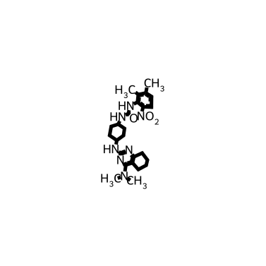 Cc1ccc([N+](=O)[O-])c(NC(=O)NC2CCC(Nc3nc4c(c(N(C)C)n3)CCCC4)CC2)c1C